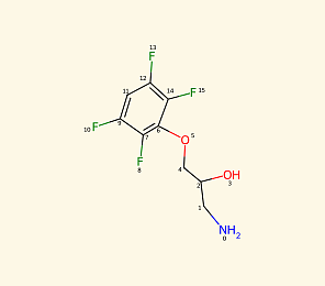 NCC(O)COc1c(F)c(F)cc(F)c1F